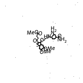 COC(=O)CCC(=O)c1sc2cc(OC)c(OC)cc2c1OCCCNc1ccc(C(N)=O)cc1N